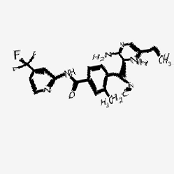 C=N/C(=C1\NC(CC)=CN=C1N)c1ccc(C(=O)Nc2cc(C(F)(F)F)ccn2)cc1C